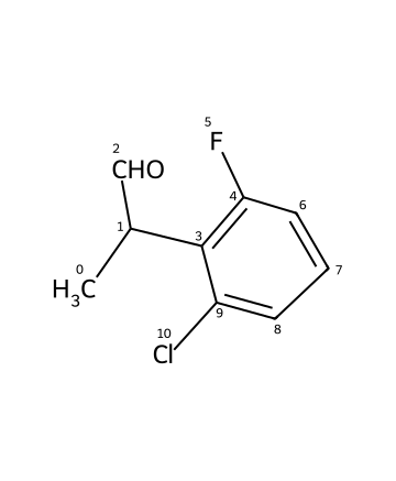 CC(C=O)c1c(F)cccc1Cl